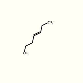 [CH2]C/C=[C]/CCC